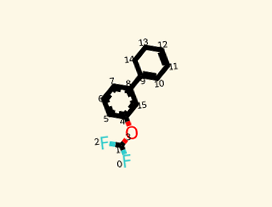 FC(F)Oc1cccc(C2=CC=CCC2)c1